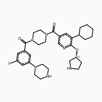 O=C(c1cc(F)cc(N2CCNCC2)c1)N1CCN(C(=O)c2cnc(O[C@H]3CCNC3)c(C3CCCCC3)c2)CC1